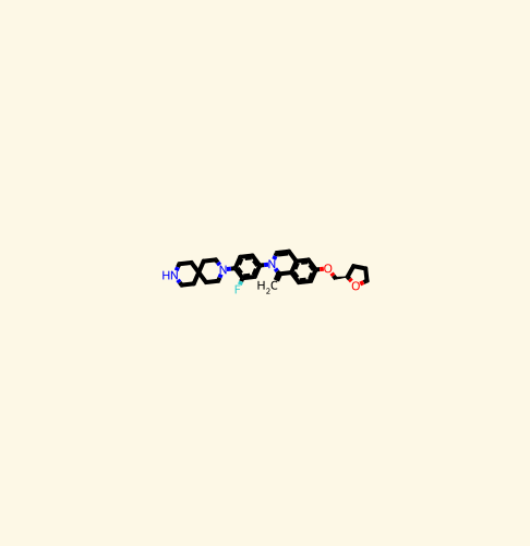 C=C1c2ccc(OC[C@H]3CCCO3)cc2C=CN1c1ccc(N2CCC3(CCNCC3)CC2)c(F)c1